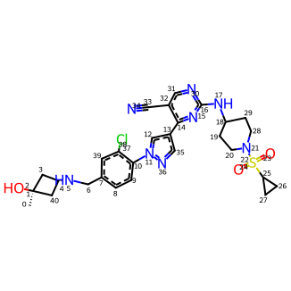 C[C@]1(O)C[C@H](NCc2ccc(-n3cc(-c4nc(NC5CCN(S(=O)(=O)C6CC6)CC5)ncc4C#N)cn3)c(Cl)c2)C1